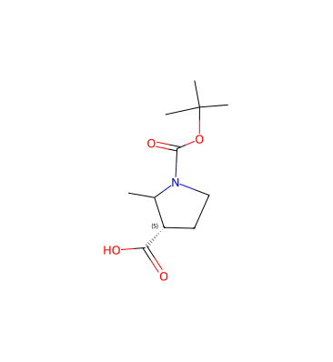 CC1[C@@H](C(=O)O)CCN1C(=O)OC(C)(C)C